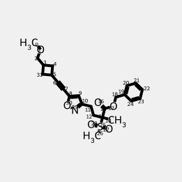 COCC1CC(C#Cc2cc(CCC(C)(C(=O)OCc3ccccc3)S(C)(=O)=O)no2)C1